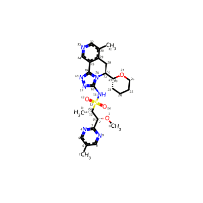 CO[C@H](c1ncc(C)cn1)[C@H](C)S(=O)(=O)Nc1nnc2n1[C@H]([C@H]1CCCCO1)Cc1c(C)cncc1-2